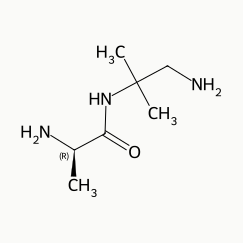 C[C@@H](N)C(=O)NC(C)(C)CN